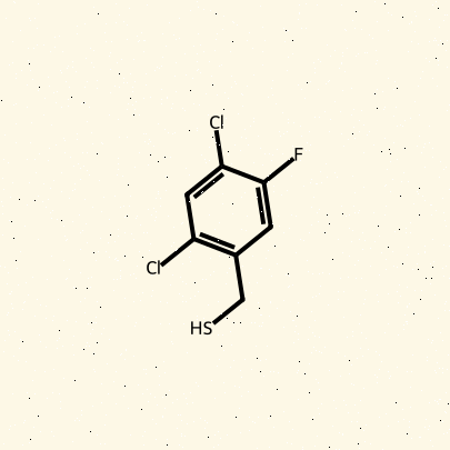 Fc1cc(CS)c(Cl)cc1Cl